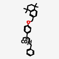 CC1(C)CCC(C)(C)c2cc(COc3ccc([C@@H](C=CCc4ccccc4)CC(=O)O)cc3)ccc21